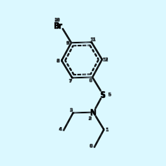 CCN(CC)Sc1ccc(Br)cc1